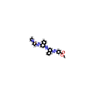 CCOC(=O)c1ccc(/N=N/c2ccc(/N=N/c3ccc(/N=N/c4ccc(N5CCCC5)s4)c4ccccc34)c3ccccc23)cc1